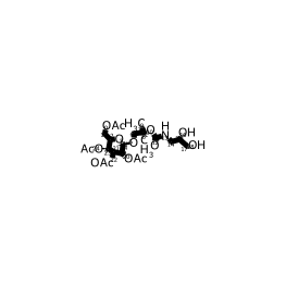 CC(=O)OCC1O[C@@H](OCC(C)(C)OC(=O)NCC(O)CO)C(OC(C)=O)C(OC(C)=O)[C@@H]1OC(C)=O